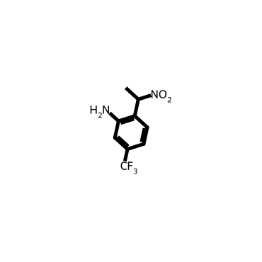 CC(c1ccc(C(F)(F)F)cc1N)[N+](=O)[O-]